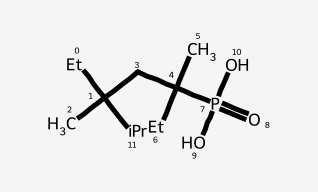 CCC(C)(CC(C)(CC)P(=O)(O)O)C(C)C